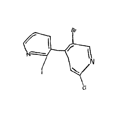 Cc1ncccc1-c1cc(Cl)ncc1Br